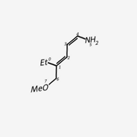 CC/C(=C\C=C/N)COC